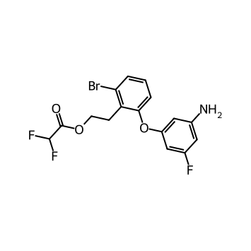 Nc1cc(F)cc(Oc2cccc(Br)c2CCOC(=O)C(F)F)c1